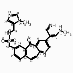 CN/C=C(\C=N)c1cnc2ccc3ccc(CS(=O)(=O)NCc4cncn4C)cc3c(=O)c2c1